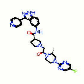 C[C@@H]1CN(c2ncc(F)cn2)CCN1C(=O)CN1CC[C@@H](C(=O)Nc2ccc3[nH]nc(-c4ccncc4)c3c2)C1